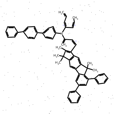 C=C/C=C(\C=C/C)N(C(=C)/C=C\C1=C(C)C(C)(C)c2cc3c(cc21)C(C)(C)c1c(-c2ccccc2)cc(-c2ccccc2)cc1-3)c1ccc(-c2ccc(-c3ccccc3)cc2)cc1